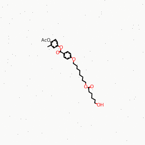 CC(=O)Oc1ccc(OC(=O)c2ccc(OCCCCCCCCOC(=O)CCCCCO)cc2)cc1C